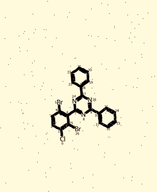 Clc1ccc(Br)c(-c2nc(-c3ccccc3)nc(-c3ccccc3)n2)c1Br